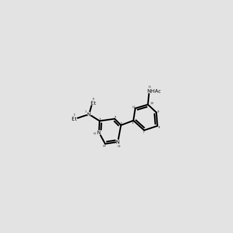 CCN(CC)c1cc(-c2cccc(NC(C)=O)c2)ncn1